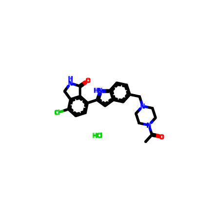 CC(=O)N1CCN(Cc2ccc3[nH]c(-c4ccc(Cl)c5c4C(=O)NC5)cc3c2)CC1.Cl